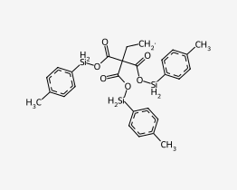 [CH2]CC(C(=O)O[SiH2]c1ccc(C)cc1)(C(=O)O[SiH2]c1ccc(C)cc1)C(=O)O[SiH2]c1ccc(C)cc1